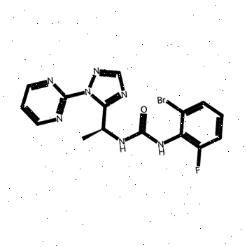 C[C@H](NC(=O)Nc1c(F)cccc1Br)c1ncnn1-c1ncccn1